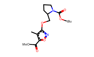 COC(=O)c1onc(OCC2CCCN2C(=O)OC(C)(C)C)c1C